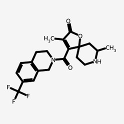 CC1=C(C(=O)N2CCc3ccc(C(F)(F)F)cc3C2)C2(CCNC(C)C2)OC1=O